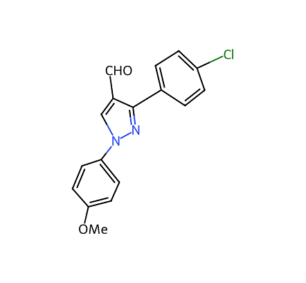 COc1ccc(-n2cc(C=O)c(-c3ccc(Cl)cc3)n2)cc1